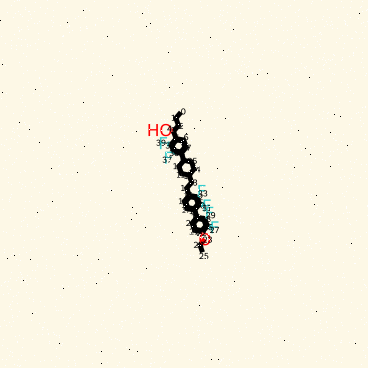 CCCC(O)c1ccc(C2CCC(CCc3ccc(-c4ccc(OCC)c(F)c4F)c(F)c3F)CC2)c(F)c1F